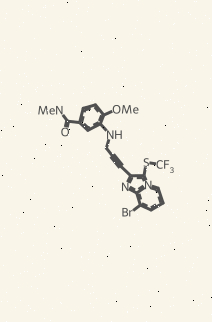 CNC(=O)c1ccc(OC)c(NCC#Cc2nc3c(Br)cccn3c2SC(F)(F)F)c1